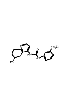 CCOC(=O)c1cccc(NC(=O)Nc2cccc3c2CC(O)CC3)c1